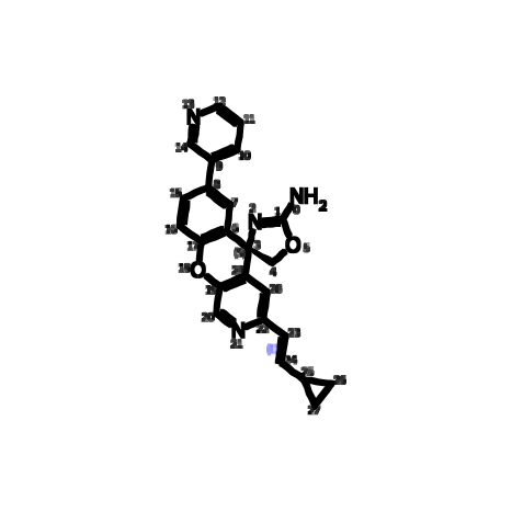 NC1=N[C@@]2(CO1)c1cc(-c3cccnc3)ccc1Oc1cnc(/C=C/C3CC3)cc12